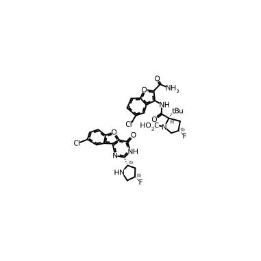 CC(C)(C)[C@]1(C(=O)Nc2c(C(N)=O)oc3ccc(Cl)cc23)C[C@H](F)CN1C(=O)O.O=c1[nH]c([C@@H]2C[C@H](F)CN2)nc2c1oc1ccc(Cl)cc12